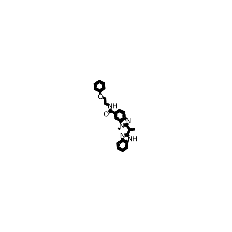 CC(c1nc2ccccc2[nH]1)c1nc2ccc(C(=O)NCCOc3ccccc3)cc2n1C